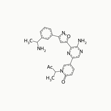 CC(=O)C(C)n1cc(-c2cnc(N)c(-c3cc(-c4cccc(C(C)N)c4)no3)n2)ccc1=O